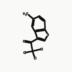 Cc1ccc2scc(C(=O)C(Cl)(Cl)Cl)c2c1